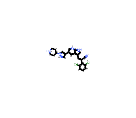 N#CC(=Cc1c[nH]c2ncc(-c3cnn(C4CCNCC4)c3)cc12)c1c(Cl)cccc1Cl